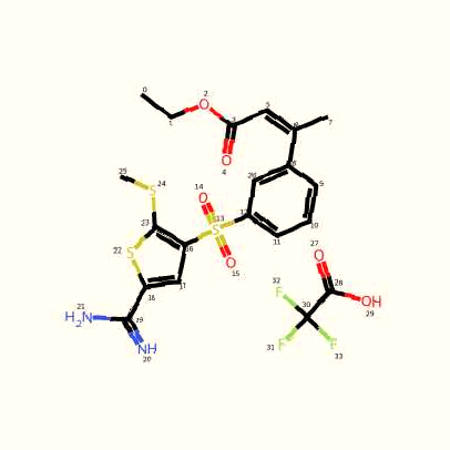 CCOC(=O)/C=C(/C)c1cccc(S(=O)(=O)c2cc(C(=N)N)sc2SC)c1.O=C(O)C(F)(F)F